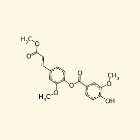 COC(=O)/C=C/c1ccc(OC(=O)c2ccc(O)c(OC)c2)c(OC)c1